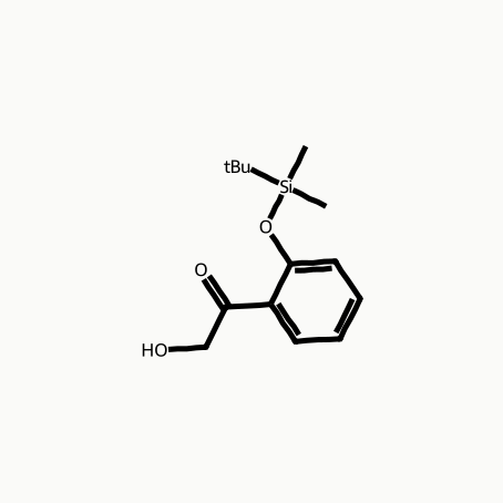 CC(C)(C)[Si](C)(C)Oc1ccccc1C(=O)CO